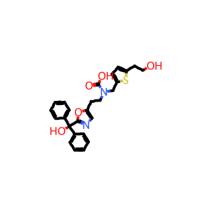 O=C(O)N(CCc1cnc(C(O)(c2ccccc2)c2ccccc2)o1)Cc1ccc(CCO)s1